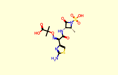 C[C@@H]1[C@H](NC(=O)C(=NOC(C)(C)C(=O)O)c2csc(N)n2)C(=O)N1S(=O)(=O)O